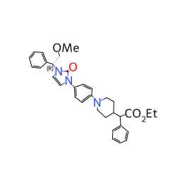 CCOC(=O)C(c1ccccc1)C1CCN(c2ccc(-n3ccn([C@@H](COC)c4ccccc4)c3=O)cc2)CC1